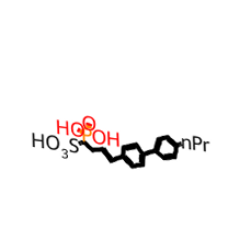 CCCc1ccc(-c2ccc(/C=C/CC(P(=O)(O)O)S(=O)(=O)O)cc2)cc1